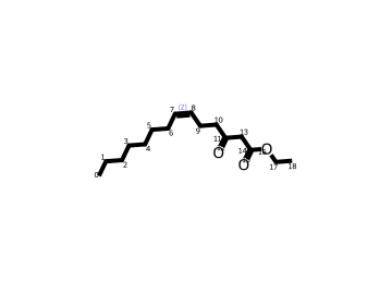 CCCCCCC/C=C\CCC(=O)CC(=O)OCC